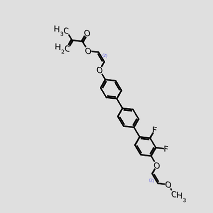 C=C(C)C(=O)O/C=C\Oc1ccc(-c2ccc(-c3ccc(O/C=C\OC)c(F)c3F)cc2)cc1